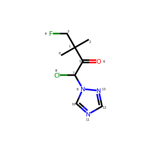 CC(C)(CF)C(=O)C(Cl)n1cncn1